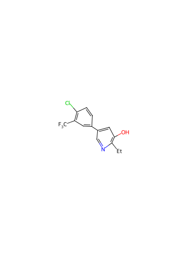 CCc1ncc(-c2ccc(Cl)c(C(F)(F)F)c2)cc1O